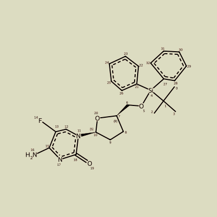 CC(C)(C)[Si](OC[C@H]1CC[C@@H](n2cc(F)c(N)nc2=O)O1)(c1ccccc1)c1ccccc1